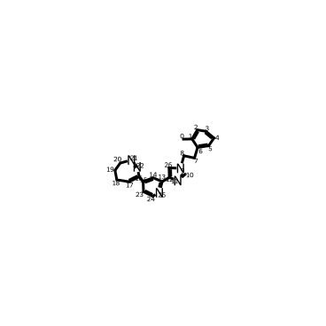 Cc1ccccc1CCn1cnc(-c2cc(C3=CCCCN=N3)ccn2)c1